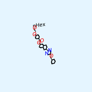 CCCCCCOCCOc1ccc(C(=O)Oc2ccc3cc(-c4ncc(OCc5ccccc5)cn4)ccc3c2)cc1